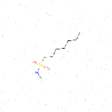 CCCCCCCS(=O)(=O)NC